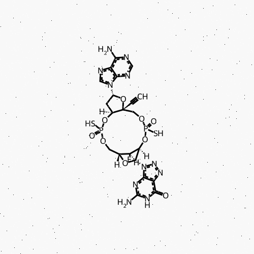 C#C[C@@]12COP(=O)(S)O[C@@H]3[C@@H](F)[C@@H](COP(=O)(S)O[C@H]1C[C@H](n1cnc4c(N)ncnc41)O2)O[C@H]3n1nnc2c(=O)[nH]c(N)nc21